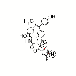 CCC(=C(c1ccc(O)cc1)c1ccc(N2CCC(CN3CC4CC(C3)N4c3cc4c(cc3F)C(=O)N(C3CCC(=O)NC3=O)C4=O)CC2)cc1)c1ccc(O)cc1